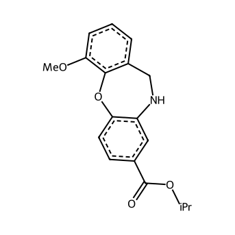 COc1cccc2c1Oc1ccc(C(=O)OC(C)C)cc1NC2